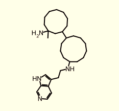 CC1(N)CCCCCCCC(C2CCCCCCC(NCCc3c[nH]c4cnccc34)CCC2)C1